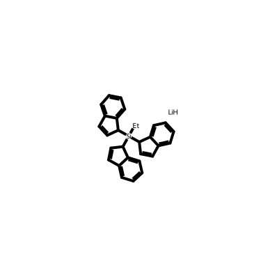 CC[Si](C1C=Cc2ccccc21)(C1C=Cc2ccccc21)C1C=Cc2ccccc21.[LiH]